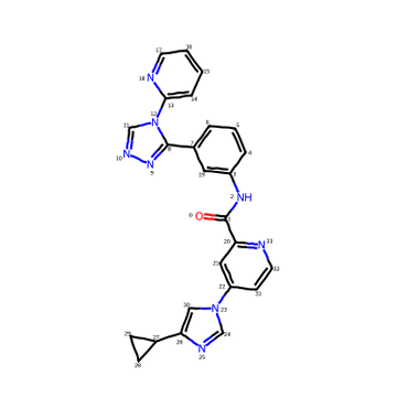 O=C(Nc1cccc(-c2nncn2-c2ccccn2)c1)c1cc(-n2cnc(C3CC3)c2)ccn1